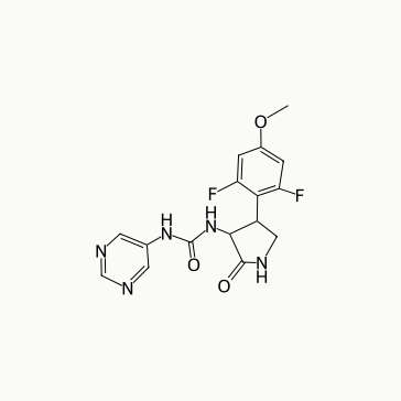 COc1cc(F)c(C2CNC(=O)C2NC(=O)Nc2cncnc2)c(F)c1